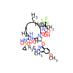 COc1ccc2c(O[C@@H]3C[C@H]4C(=O)N[C@]5(C(=O)NS(=O)(=O)C6CC6)C[C@H]5/C=C\CC[C@@H](C)C[C@@H](C)[C@H](N(C(=O)O)C(C)(C)C(F)(F)F)C(=O)N4C3)nc(N(C)C)cc2c1